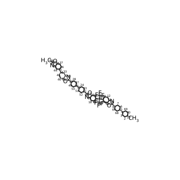 Cc1ccc(-c2ccc(-c3nc4ccc(C(c5ccc6nc(-c7ccc(-c8ccc(C9=NC%10C=C(c%11ccc%12oc(C)nc%12c%11)C=CC%10O9)cc8)cc7)oc6c5)(C(F)(F)F)C(F)(F)F)cc4o3)cc2)cc1